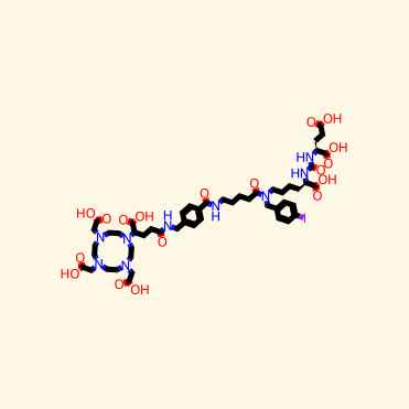 O=C(O)CC[C@@H](NC(=O)N[C@H](CCCCN(Cc1ccc(I)cc1)C(=O)CCCCNC(=O)c1ccc(CNC(=O)CCC(C(=O)O)N2CCN(CC(=O)O)CCN(CC(=O)O)CCN(CC(=O)O)CC2)cc1)C(=O)O)C(=O)O